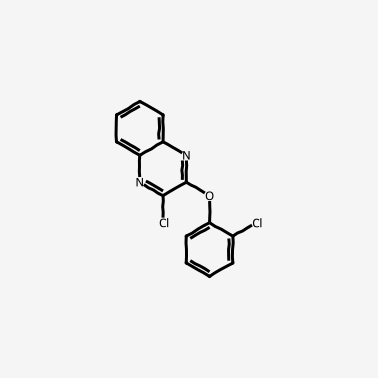 Clc1ccccc1Oc1nc2ccccc2nc1Cl